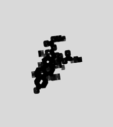 CCCCC(=O)OC(=O)O[C@]1(C(=O)COC(=O)OC)[C@H](C)C[C@H]2[C@@H]3CCC4=CC(=O)C=C[C@]4(C)[C@H]3C(O)C[C@@]21C